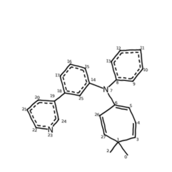 CC1(C)C=CC=C(N(c2ccccc2)c2cccc(-c3cccnc3)c2)C=C1